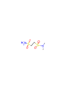 CN(C)S(=O)(=O)CCS(N)(=O)=O